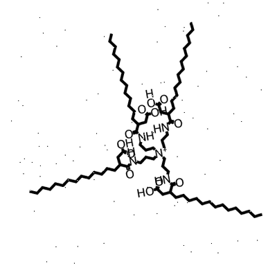 CCCCCCCCCCCCCCC(CC(=O)O)C(=O)NCCC[N+](CCCNC(=O)C(CCCCCCCCCCCCCC)CC(=O)O)(CCCNC(=O)C(CCCCCCCCCCCCCC)CC(=O)O)CCCNC(=O)C(CCCCCCCCCCCCCC)CC(=O)O